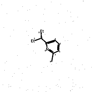 CCC(CC)c1cccc(C)n1